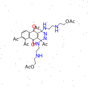 CC(=O)OCCNCCNC1(C(C)=O)N=NC(NCCNCCOC(C)=O)(C(C)=O)C2=C1C(=O)c1ccc(C(C)=O)c(C(C)=O)c1C2=O